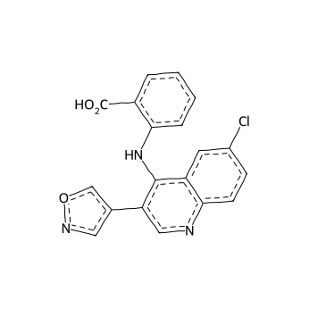 O=C(O)c1ccccc1Nc1c(-c2cnoc2)cnc2ccc(Cl)cc12